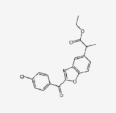 CCOC(=O)C(C)c1ccc2oc(C(=O)c3ccc(Cl)cc3)nc2c1